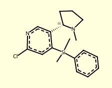 CN1CCC[C@H]1c1cnc(Cl)cc1[Si](C)(C)c1ccccc1